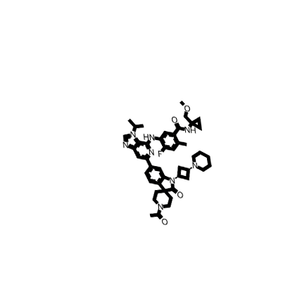 COCC1(NC(=O)c2cc(Nc3nc(-c4ccc5c(c4)N([C@H]4C[C@@H](N6CCCCC6)C4)C(=O)C54CCN(C(C)=O)CC4)cc4ncn(C(C)C)c34)c(F)cc2C)CC1